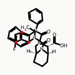 CCN(Cc1ccccc1F)C(=O)N1[C@H]2CCC[C@@H]1[C@@H](C(=O)O)N(C(=O)N(c1ccccc1)c1ccccc1)C2